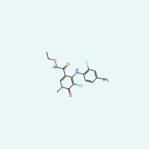 Bc1ccc(Nc2c(C(=O)NOCC)cn(C)c(=O)c2Cl)c(F)c1